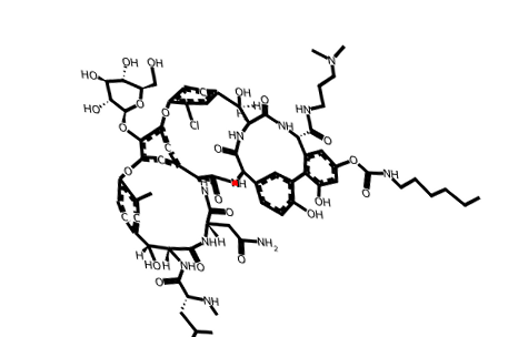 CCCCCCNC(=O)Oc1cc(O)c2c(c1)[C@@H](C(=O)NCCCN(C)C)NC(=O)[C@H]1NC(=O)[C@H](NC(=O)[C@@H]3NC(=O)[C@H](CC(N)=O)NC(=O)[C@H](NC(=O)[C@@H](CC(C)C)NC)[C@H](O)c4ccc(c(C)c4)Oc4cc3cc(c4O[C@@H]3O[C@H](CO)[C@@H](O)[C@H](O)[C@H]3O)Oc3ccc(cc3Cl)[C@H]1O)c1ccc(O)c-2c1